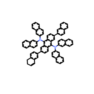 C1=Cc2cc(-c3ccc4c(N(c5ccc6ccccc6c5)c5ccc6ccccc6c5)c5cc(-c6ccc7ccccc7c6)ccc5c(N(c5ccc6ccccc6c5)c5ccc6ccccc6c5)c4c3)ccc2CC1